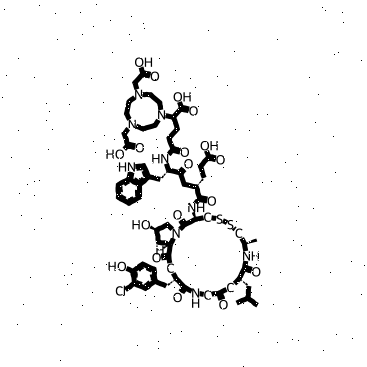 CC(C)C[C@@H]1CC(=O)CNC(=O)[C@H](Cc2ccc(O)c(Cl)c2)CC(=O)[C@H]2C[C@@H](O)CN2C(=O)[C@@H](NC(=O)[C@@H](CCC(=O)O)CC(=O)[C@H](Cc2c[nH]c3ccccc23)NC(=O)CCC(C(=O)O)N2CCN(CC(=O)O)CCN(CC(=O)O)CC2)CSSC[C@@H](C)NC1=O